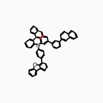 c1cc(-c2cccc(N(c3ccc(-c4cccc5c4oc4ccccc45)cc3)c3ccccc3-c3cccc4ccccc34)c2)cc(-c2ccc3ccccc3c2)c1